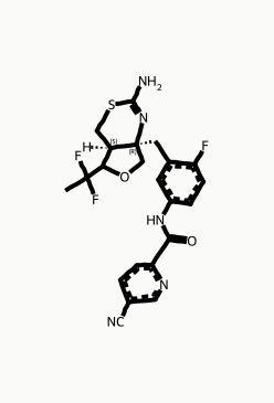 CC(F)(F)C1OC[C@]2(Cc3cc(NC(=O)c4ccc(C#N)cn4)ccc3F)N=C(N)SC[C@H]12